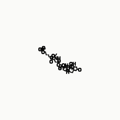 CC(=O)NC(CC(=O)OCC(=O)[C@@]1(O)CC[C@H]2[C@@H]3CCC4=CC(=O)C=C[C@]4(C)[C@H]3[C@@H](O)C[C@@]21C)C(=O)OCCCCO[N+](=O)[O-]